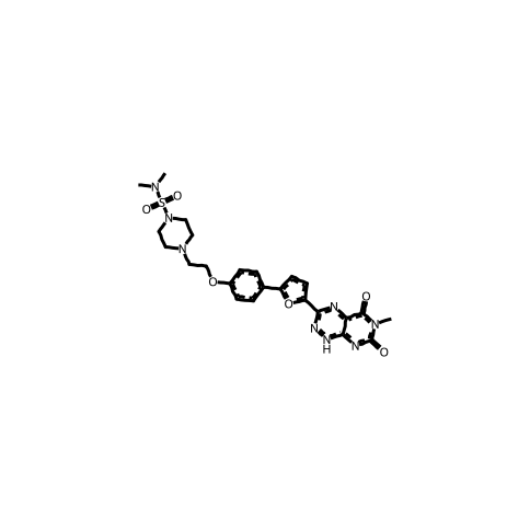 CN(C)S(=O)(=O)N1CCN(CCOc2ccc(-c3ccc(-c4n[nH]c5nc(=O)n(C)c(=O)c-5n4)o3)cc2)CC1